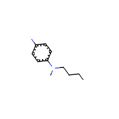 CCOC(=O)CCCN(C)c1ccc(N)cc1